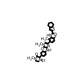 CCN1CCN(C)C(=O)C1c1ccc(Nc2nc(-c3ccc(F)c(NC(=O)c4cc5c(s4)CCCC5)c3C)cn(C)c2=O)cc1